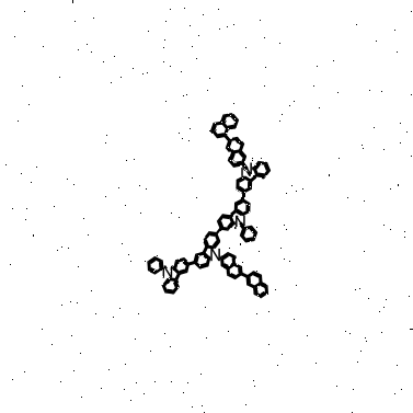 c1ccc(-n2c3ccccc3c3cc(-c4ccc5c(c4)c4ccc(-c6ccc7c8cc(-c9ccc%10c(c9)c9ccccc9n%10-c9ccc%10cc(-c%11cccc%12ccccc%11%12)ccc%10c9)ccc8n(-c8ccccc8)c7c6)cc4n5-c4ccc5cc(-c6ccc7ccccc7c6)ccc5c4)ccc32)cc1